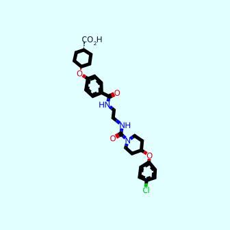 O=C(NCCNC(=O)N1CCC(Oc2ccc(Cl)cc2)CC1)c1ccc(O[C@H]2CC[C@@H](C(=O)O)CC2)cc1